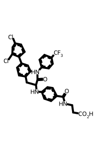 O=C(O)CCNC(=O)c1ccc(NC(Cc2ccc(-c3ccc(Cl)cc3Cl)cc2)C(=O)Nc2ccc(C(F)(F)F)cc2)cc1